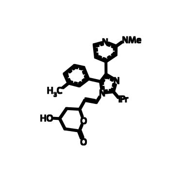 CNc1cc(-c2nc(C(C)C)n(/C=C/C3CC(O)CC(=O)O3)c2-c2cccc(C)c2)ccn1